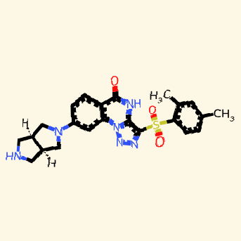 Cc1ccc(S(=O)(=O)c2nnn3c2[nH]c(=O)c2ccc(N4C[C@H]5CNC[C@H]5C4)cc23)c(C)c1